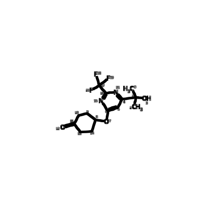 CC(C)(O)c1cc(OC2CCC(=O)CC2)nc(C(F)(F)F)n1